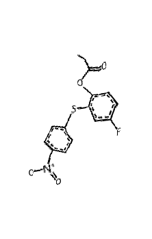 CC(=O)Oc1ccc(F)cc1Sc1ccc([N+](=O)[O-])cc1